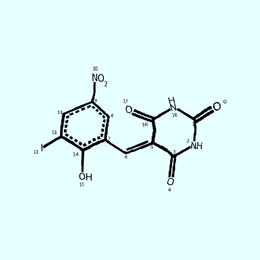 O=C1NC(=O)C(=Cc2cc([N+](=O)[O-])cc(I)c2O)C(=O)N1